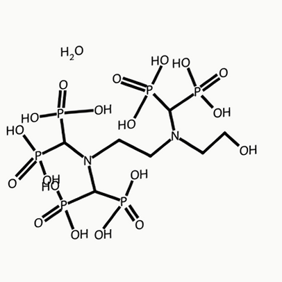 O.O=P(O)(O)C(N(CCO)CCN(C(P(=O)(O)O)P(=O)(O)O)C(P(=O)(O)O)P(=O)(O)O)P(=O)(O)O